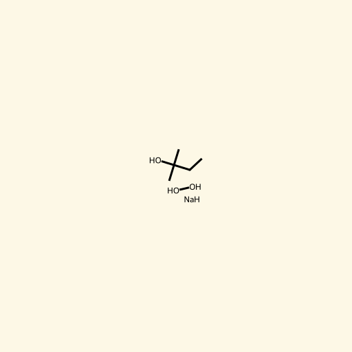 CCC(C)(C)O.OO.[NaH]